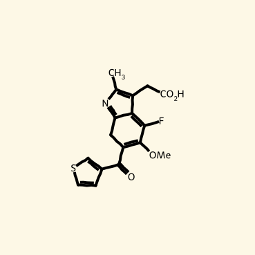 COC1=C(C(=O)c2ccsc2)CC2=NC(C)=C(CC(=O)O)C2=C1F